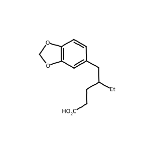 CCC(CCC(=O)O)Cc1ccc2c(c1)OCO2